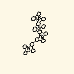 c1ccc([Si](c2ccccc2)(c2ccc3c(c2)-c2ccccc2B2c4ccccc4-c4ccccc4N23)c2ccc3c(c2)-c2ccccc2B2c4ccccc4-c4cc(-c5ccc6c(c5)-c5ccccc5B5c7ccccc7-c7ccccc7N56)ccc4N23)cc1